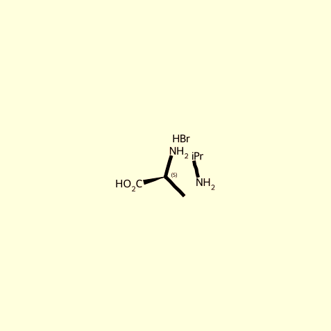 Br.CC(C)N.C[C@H](N)C(=O)O